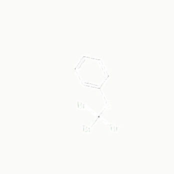 BrC(Br)(Br)Sc1ccccc1